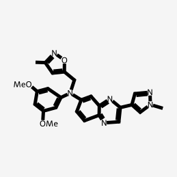 COc1cc(OC)cc(N(Cc2cc(C)no2)c2ccc3ncc(-c4cnn(C)c4)nc3c2)c1